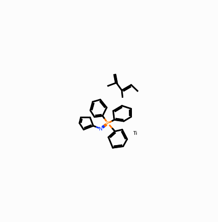 C1=CCC(N=P(c2ccccc2)(c2ccccc2)c2ccccc2)=C1.C=C(C)C(C)=CC.[Ti]